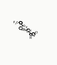 O=C(c1cccc(C(F)(F)F)c1)N1CCCC[C@@H]1CNc1nc(-c2c[nH]c3ncc(Cl)cc23)ncc1F